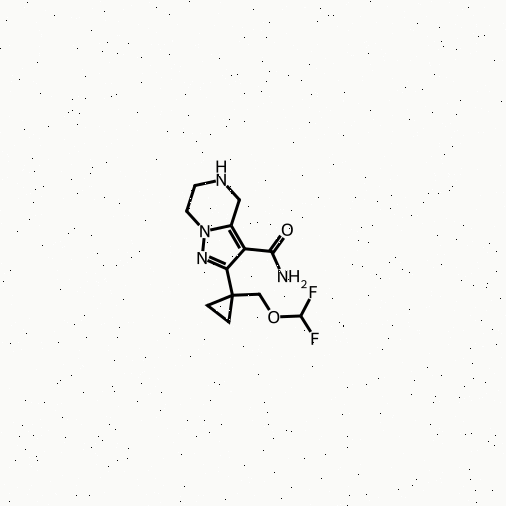 NC(=O)c1c(C2(COC(F)F)CC2)nn2c1CNCC2